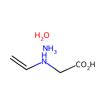 C=CNCC(=O)O.N.O